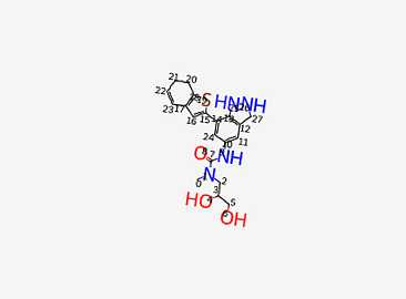 CN(CC(O)CO)C(=O)Nc1cc2c(c(-c3cc4c(s3)CCC=C4)c1)NNC2